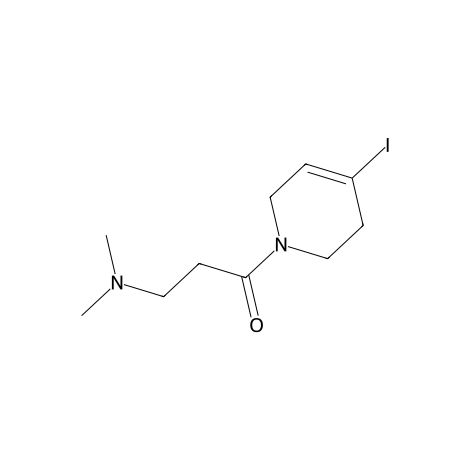 CN(C)CCC(=O)N1CC=C(I)CC1